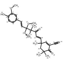 COc1cc(C=CC(OC)(OC)C(C)(C)C(=O)C=CC2(C)C=C(C#N)C(=O)C(C)(C)C2)ccc1O